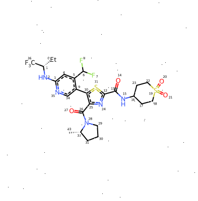 CC[C@H](Nc1cc(C(F)F)c(-c2sc(C(=O)NC3CCS(=O)(=O)CC3)nc2C(=O)N2CCC[C@@H]2C)cn1)C(F)(F)F